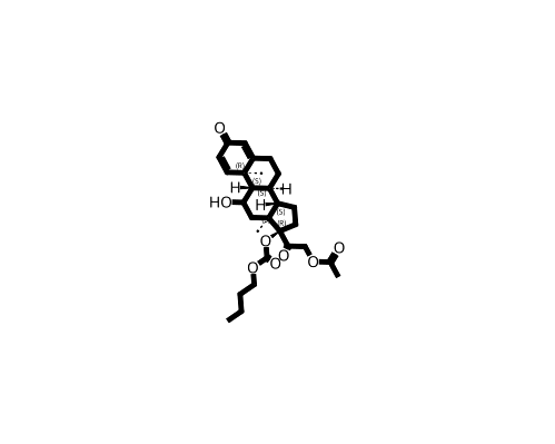 CCCCOC(=O)O[C@]1(C(=O)COC(C)=O)CC[C@H]2[C@@H]3CCC4=CC(=O)C=C[C@]4(C)[C@H]3C(O)C[C@@]21C